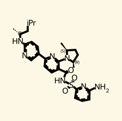 CC(C)C[C@@H](C)Nc1ccc(-c2ccc(C(=O)NS(=O)(=O)c3cccc(N)n3)c(N3[C@H](C)CC[C@@H]3C)n2)cn1